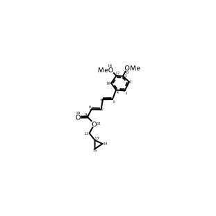 COc1ccc(C=CC=CC(=O)OCC2CC2)cc1OC